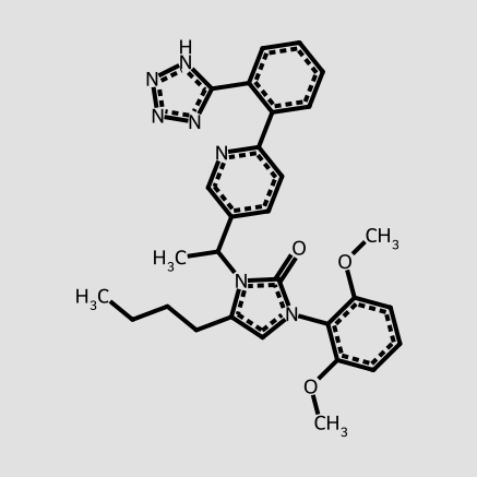 CCCCc1cn(-c2c(OC)cccc2OC)c(=O)n1C(C)c1ccc(-c2ccccc2-c2nnn[nH]2)nc1